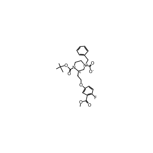 COC(=O)c1cc(OCC[C@@H]2C[N+](Cc3ccccc3)(C(=O)[O-])CCN2C(=O)OC(C)(C)C)ccc1F